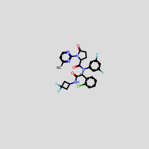 N#Cc1ccnc(N2C(=O)CCC2C(=O)N(c2cc(F)cc(F)c2)[C@H](C(=O)NC2CC(F)(F)C2)c2ccccc2Cl)n1